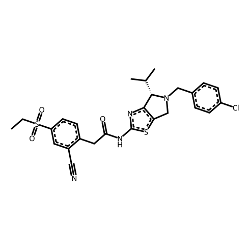 CCS(=O)(=O)c1ccc(CC(=O)Nc2nc3c(s2)CN(Cc2ccc(Cl)cc2)[C@H]3C(C)C)c(C#N)c1